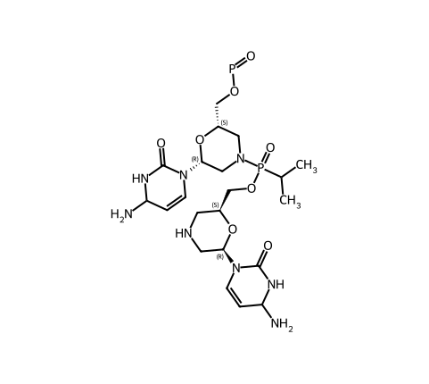 CC(C)P(=O)(OC[C@@H]1CNC[C@H](N2C=CC(N)NC2=O)O1)N1C[C@@H](COP=O)O[C@@H](N2C=CC(N)NC2=O)C1